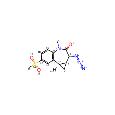 CN1C(=O)[C@@H](N=[N+]=[N-])C2C[C@H]2c2cc(S(C)(=O)=O)ccc21